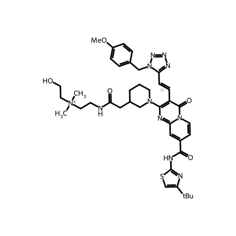 COc1ccc(Cn2nnnc2/C=C/c2c(N3CCCC(CC(=O)NCC[N+](C)(C)CCO)C3)nc3cc(C(=O)Nc4nc(C(C)(C)C)cs4)ccn3c2=O)cc1